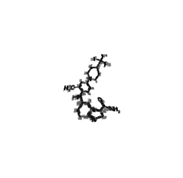 Cc1cc(N2CCC(C(F)(F)F)CC2)ccc1Nc1ccc2ncc(C(N)=O)n2c1